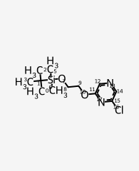 CC(C)(C)[Si](C)(C)OCCOc1cncc(Cl)n1